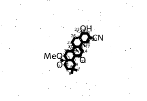 COC(=O)[C@]12CCC(C)(C)CC1C1C(=O)C=C3[C@@]4(C)C=C(C#N)C[C@](C)(O)C4CC[C@@]3(C)[C@]1(C)CC2